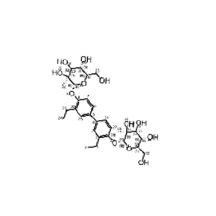 CCc1cc(-c2ccc(O[C@H]3O[C@H](CO)[C@@H](O)[C@H](O)[C@]3(C)O)c(CC)c2)ccc1O[C@H]1O[C@H](CO)[C@@H](O)[C@H](O)[C@]1(C)O